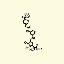 CCNC(=O)C(C#N)=c1sc(=CNc2cccc(NC(=O)CN3CCN(S(C)(=O)=O)CC3)c2)c(=O)n1CC